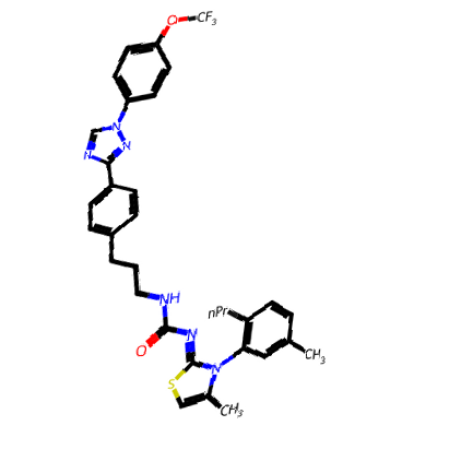 CCCc1ccc(C)cc1-n1c(C)cs/c1=N\C(=O)NCCCc1ccc(-c2ncn(-c3ccc(OC(F)(F)F)cc3)n2)cc1